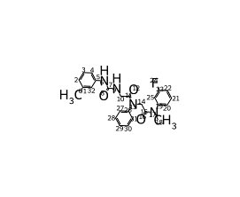 Cc1cccc(NC(=O)NCC(=O)N(CC(=O)N(C)c2cccc(F)c2)c2ccccc2)c1